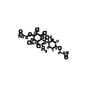 CC(C)(c1ccc(OCC2CO2)cc1)c1c(Cl)c(Cl)c(OCC2CO2)c(Cl)c1Cl